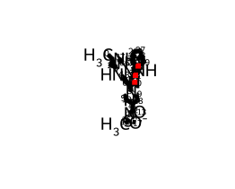 Cc1cc(Nc2cc(N3CCC(C(=O)N[S+](C)[O-])CC3)nc(NC3CC4CCC(C3)N4CCC#N)n2)n[nH]1